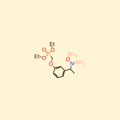 BON(B)C(C)c1cccc(OCP(=O)(OCC)OCC)c1